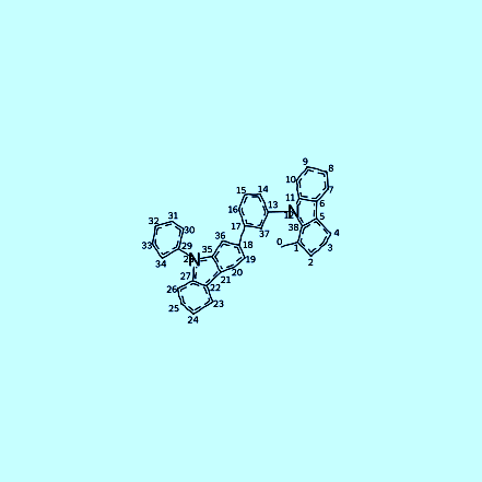 Cc1cccc2c3ccccc3n(-c3cccc(-c4ccc5c6ccccc6n(-c6ccccc6)c5c4)c3)c12